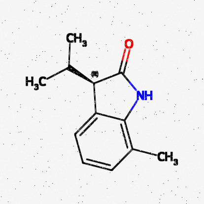 Cc1cccc2c1NC(=O)[C@@H]2C(C)C